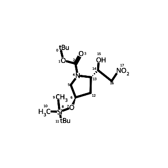 CC(C)(C)OC(=O)N1C[C@H](O[Si](C)(C)C(C)(C)C)C[C@H]1C(O)C[N+](=O)[O-]